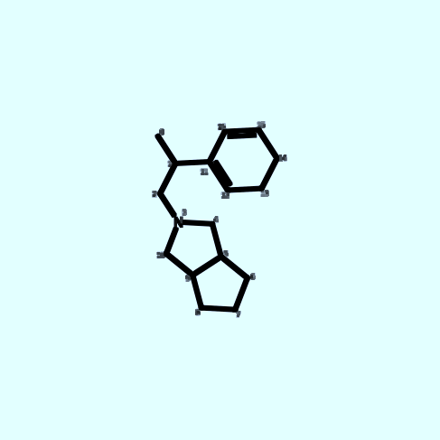 CC(CN1CC2CCCC2C1)C1=CCCC=C1